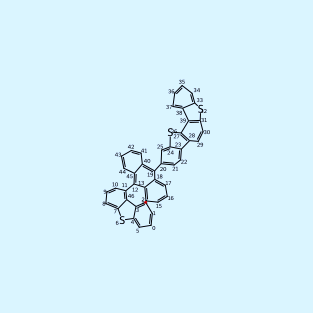 c1ccc2c(c1)sc1cccc(-c3c4ccccc4c(-c4ccc5c(c4)sc4c5ccc5sc6ccccc6c54)c4ccccc34)c12